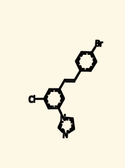 Clc1cc(/C=C/c2ccc(Br)cc2)cc(-n2ccnc2)c1